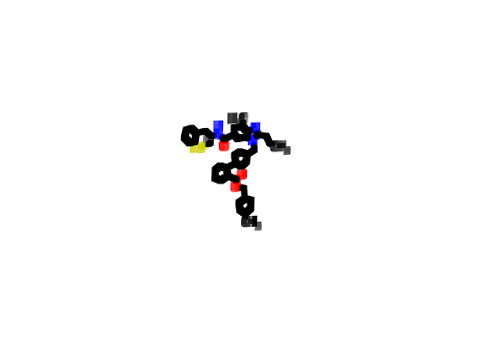 CCCc1nc2c(C)cc(C(=O)N[C@@H](CS)Cc3ccccc3)cc2n1Cc1ccc(-c2ccccc2C(=O)OCc2ccc(C)cc2)cc1